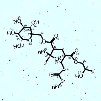 CCCSC(=S)SCC(CC(C(=O)OCC1O[C@H](O)C(O)[C@@H](O)[C@@H]1O)C(C)(C#N)CCC)C(=O)OCC(C)O